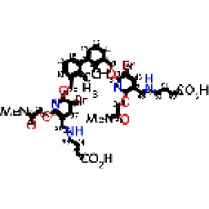 CNC(=O)COc1nc(OCc2cccc(-c3cccc(COc4nc(OCC(=O)NC)c(CNCCCC(=O)O)cc4Br)c3C)c2C)c(Br)cc1CNCCCC(=O)O